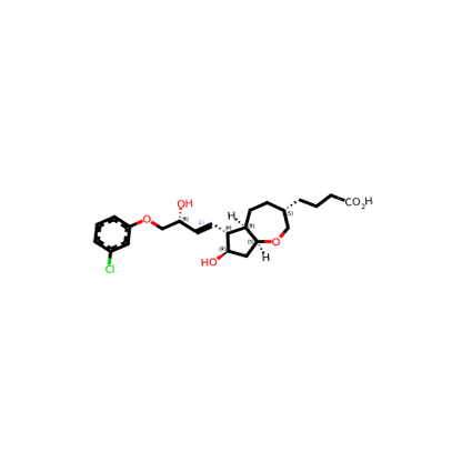 O=C(O)CCC[C@H]1CC[C@@H]2[C@@H](/C=C/[C@@H](O)COc3cccc(Cl)c3)[C@H](O)C[C@@H]2OC1